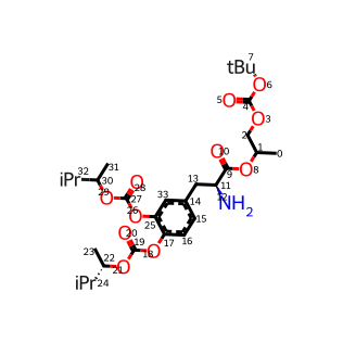 CC(COC(=O)OC(C)(C)C)OC(=O)[C@@H](N)Cc1ccc(OC(=O)O[C@@H](C)C(C)C)c(OC(=O)OC(C)C(C)C)c1